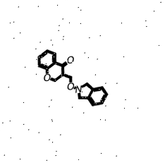 O=C1c2ccccc2OCC1CON1Cc2ccccc2C1